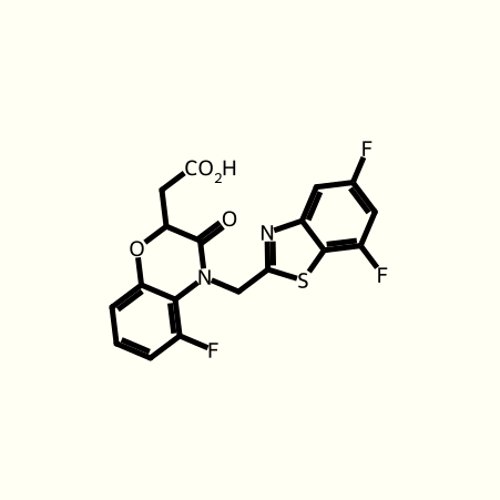 O=C(O)CC1Oc2cccc(F)c2N(Cc2nc3cc(F)cc(F)c3s2)C1=O